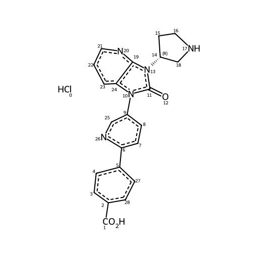 Cl.O=C(O)c1ccc(-c2ccc(-n3c(=O)n([C@@H]4CCNC4)c4ncccc43)cn2)cc1